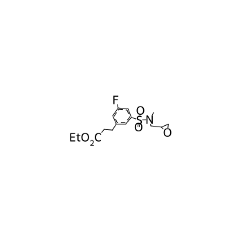 CCOC(=O)CCc1cc(F)cc(S(=O)(=O)N(C)CC2CO2)c1